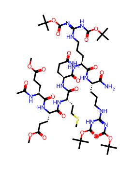 COC(=O)CC[C@H](NC(C)=O)C(=O)N[C@@H](CCC(=O)OC)C(=O)N[C@@H](CCSC)C(=O)N[C@@H](CCC(N)=O)C(=O)N[C@@H](CCCN/C(=N\C(=O)OC(C)(C)C)NC(=O)OC(C)(C)C)C(=O)N[C@@H](CCCN/C(=N/C(=O)OC(C)(C)C)NC(=O)OC(C)(C)C)C(N)=O